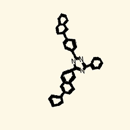 c1ccc(-c2ccc3cc(-c4nc(-c5ccccc5)nc(-c5ccc(-c6ccc7ccccc7c6)cc5)n4)ccc3c2)cc1